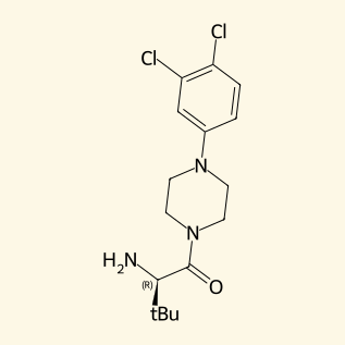 CC(C)(C)[C@@H](N)C(=O)N1CCN(c2ccc(Cl)c(Cl)c2)CC1